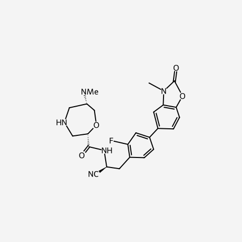 CN[C@H]1CNC[C@@H](C(=O)N[C@H](C#N)Cc2ccc(-c3ccc4oc(=O)n(C)c4c3)cc2F)OC1